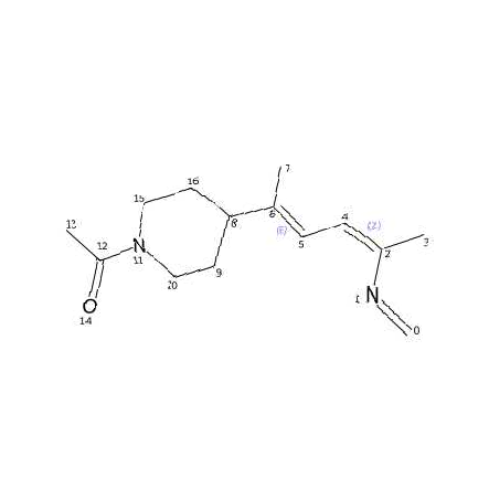 C=N/C(C)=C\C=C(/C)C1CCN(C(C)=O)CC1